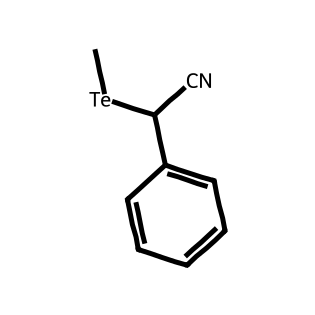 C[Te]C(C#N)c1ccccc1